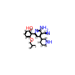 CC(C)COc1cccc(O)c1-c1cc(C2CCCNC2)c(C#N)c(N)n1